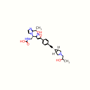 CC(O)CN1C[C@@H]2[C@@H](C#Cc3ccc(-c4cc([C@@H](CNC(=O)O)n5ccnc5[C@H](C)O)no4)cc3)[C@@H]2C1